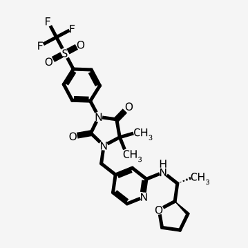 C[C@@H](Nc1cc(CN2C(=O)N(c3ccc(S(=O)(=O)C(F)(F)F)cc3)C(=O)C2(C)C)ccn1)[C@H]1CCCO1